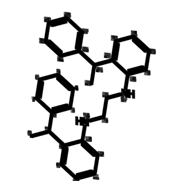 CC(c1ccccc1)c1ccccc1NCCNc1ccccc1C(C)c1ccccc1